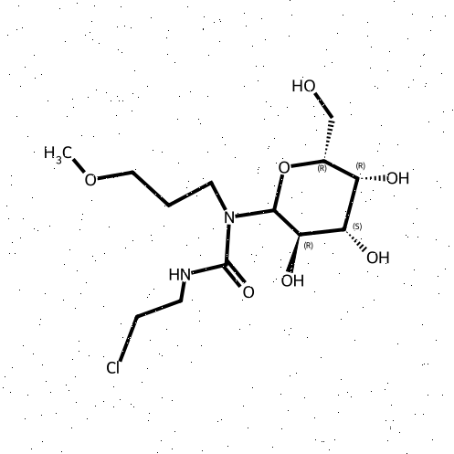 COCCCN(C(=O)NCCCl)C1O[C@H](CO)[C@H](O)[C@H](O)[C@H]1O